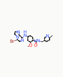 COc1cc(Nc2ncc(Br)n3ccnc23)ccc1C(=O)NCc1ccc(C)nc1